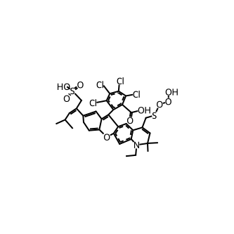 CCN1c2cc3c(cc2C(CSOOO)=CC1(C)C)C(c1c(Cl)c(Cl)c(Cl)c(Cl)c1C(=O)O)=C1C=C(/C(=C\C(C)C)CS(=O)(=O)O)CC=C1O3